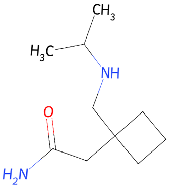 CC(C)NCC1(CC(N)=O)CCC1